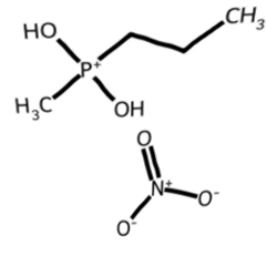 CCC[P+](C)(O)O.O=[N+]([O-])[O-]